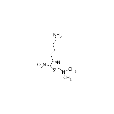 CN(C)c1nc(CCCCN)c([N+](=O)[O-])s1